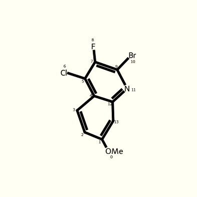 COc1ccc2c(Cl)c(F)c(Br)nc2c1